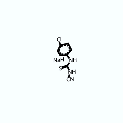 N#CNC(=S)Nc1ccc(Cl)cc1.[NaH]